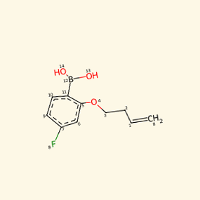 C=CCCOc1cc(F)ccc1B(O)O